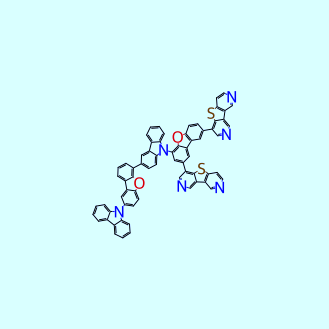 c1cc(-c2ccc3c(c2)c2ccccc2n3-c2cc(-c3cncc4c3sc3ccncc34)cc3c2oc2ccc(-c4cncc5c4sc4ccncc45)cc23)c2oc3ccc(-n4c5ccccc5c5ccccc54)cc3c2c1